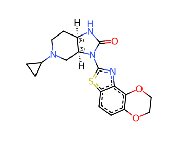 O=C1N[C@@H]2CCN(C3CC3)C[C@@H]2N1c1nc2c3c(ccc2s1)OCCO3